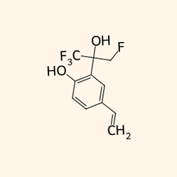 C=Cc1ccc(O)c(C(O)(CF)C(F)(F)F)c1